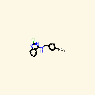 O=[N+]([O-])c1ccc(CNc2nc(Cl)nc3ccccc23)cc1